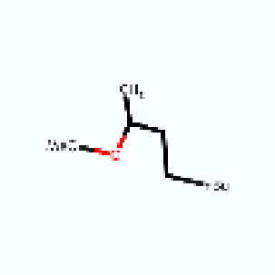 CCCCCCC(C)OOC